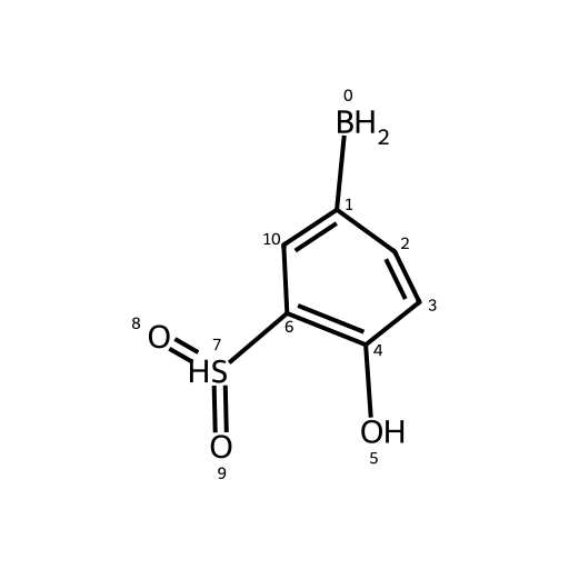 Bc1ccc(O)c([SH](=O)=O)c1